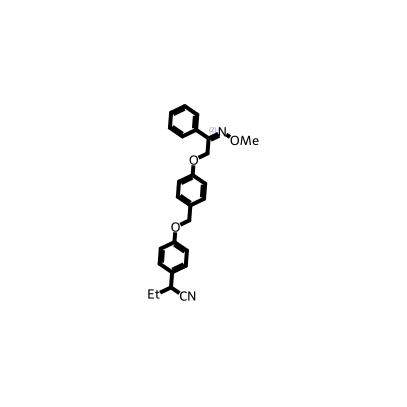 CCC(C#N)c1ccc(OCc2ccc(OC/C(=N\OC)c3ccccc3)cc2)cc1